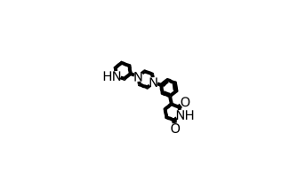 O=C1CCC(c2cccc(N3CCN(C4CCCNC4)CC3)c2)C(=O)N1